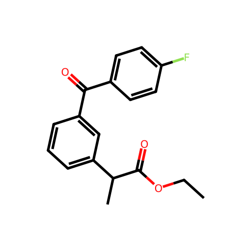 CCOC(=O)C(C)c1cccc(C(=O)c2ccc(F)cc2)c1